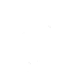 O=[N+]([O-])c1ccccc1-c1cccc(N(c2ccccc2)c2cccc(-c3ccccc3Br)c2)c1